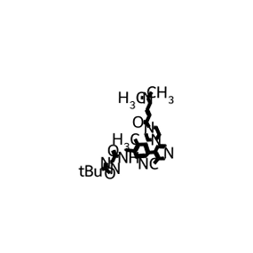 Cc1cc(-c2c(C#N)cncc2N2CCN(C(=O)C=CCN(C)C)CC2)ccc1CNC(=O)c1noc(C(C)(C)C)n1